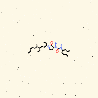 C=C\C=C/C=C(C)/C(C=C)=C/C=C(\C=C)N1CCC(NC(=O)NC(/C=C\C=C)=C/C=C)C1=O